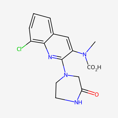 CN(C(=O)O)c1cc2cccc(Cl)c2nc1N1CCNC(=O)C1